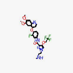 CNCCn1cc(OCC(F)(F)F)c(C(=O)Nc2ccc(Oc3ccnc4cc(OC)c(OC)cc34)c(F)c2)n1